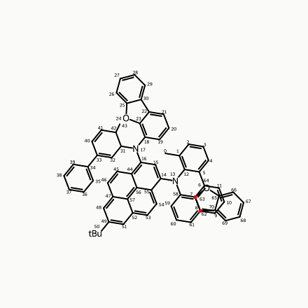 Cc1cccc(-c2ccccc2)c1N(c1cc(N(c2cccc3c2oc2ccccc23)C2C=C(c3ccccc3)C=CC2C)c2ccc3cc(C(C)(C)C)cc4ccc1c2c43)c1cccc2c1oc1ccccc12